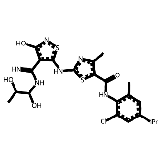 Cc1cc(C(C)C)cc(Cl)c1NC(=O)c1sc(Nc2snc(O)c2C(=N)NC(O)C(C)O)nc1C